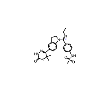 CC/N=C(/c1ccc(NS(C)(=O)=O)cc1)N1CCc2cc(C3=NNC(=O)SC3(C)C)ccc21